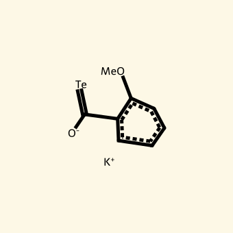 COc1ccccc1C([O-])=[Te].[K+]